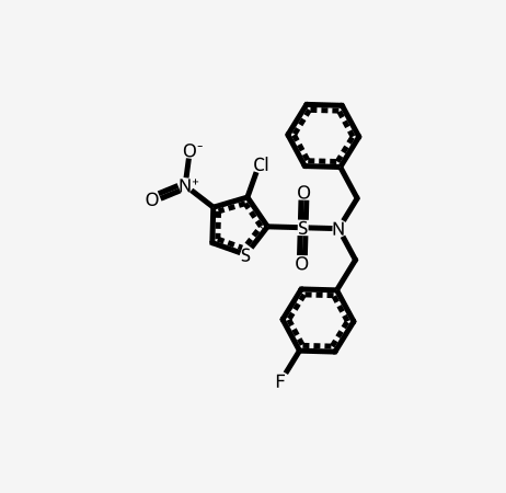 O=[N+]([O-])c1csc(S(=O)(=O)N(Cc2ccccc2)Cc2ccc(F)cc2)c1Cl